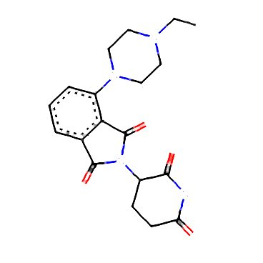 O=CCN1CCN(c2cccc3c2C(=O)N(C2CCC(=O)NC2=O)C3=O)CC1